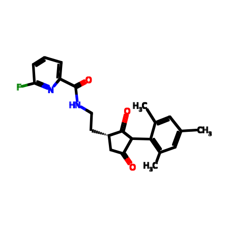 Cc1cc(C)c(C2C(=O)C[C@H](CCNC(=O)c3cccc(F)n3)C2=O)c(C)c1